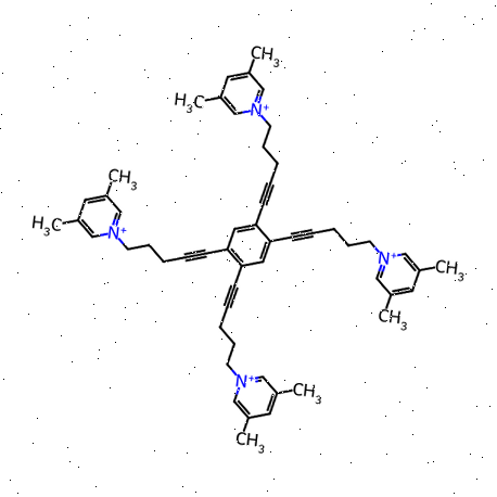 Cc1cc(C)c[n+](CCCC#Cc2cc(C#CCCC[n+]3cc(C)cc(C)c3)c(C#CCCC[n+]3cc(C)cc(C)c3)cc2C#CCCC[n+]2cc(C)cc(C)c2)c1